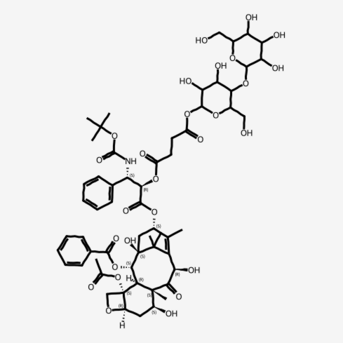 CC(=O)O[C@@]12CO[C@@H]1C[C@H](O)[C@@]1(C)C(=O)[C@H](O)C3=C(C)[C@@H](OC(=O)[C@H](OC(=O)CCC(=O)OC4OC(CO)C(OC5OC(CO)C(O)C(O)C5O)C(O)C4O)[C@@H](NC(=O)OC(C)(C)C)c4ccccc4)C[C@@](O)([C@@H](OC(=O)c4ccccc4)[C@H]21)C3(C)C